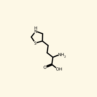 NC(CCC1CNCS1)C(=O)O